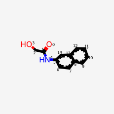 O=C(CO)Nc1ccc2cc[c]cc2c1